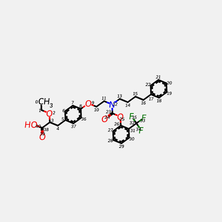 CCOC(Cc1ccc(OCCN(CCCCc2ccccc2)C(=O)Oc2ccccc2C(F)(F)F)cc1)C(=O)O